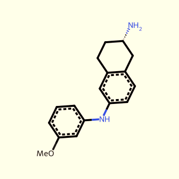 COc1cccc(Nc2ccc3c(c2)CC[C@H](N)C3)c1